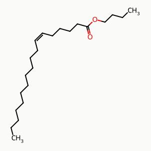 CCCCCCCCCCC/C=C\CCCCC(=O)OCCCC